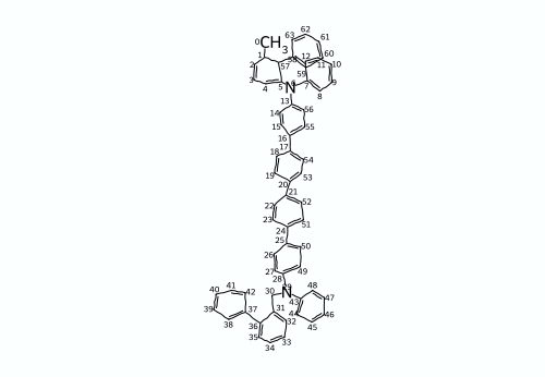 CC1C=CC=C(N(c2ccccc2)c2ccc(-c3ccc(-c4ccc(-c5ccc(N(Cc6ccccc6-c6ccccc6)c6ccccc6)cc5)cc4)cc3)cc2)C1c1ccccc1